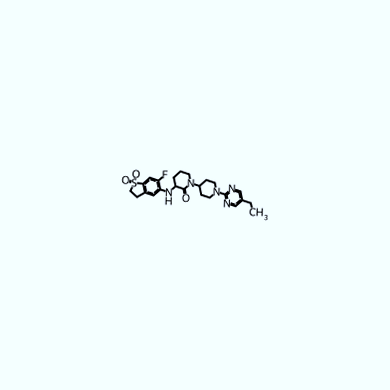 CCc1cnc(N2CCC(N3CCCC(Nc4cc5c(cc4F)S(=O)(=O)CC5)C3=O)CC2)nc1